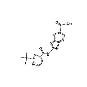 CC(C)(C)c1cc(C(=O)Nc2nc3ccc(C(=O)O)cc3s2)ccn1